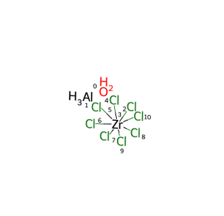 O.[AlH3].[Cl][Zr]([Cl])([Cl])([Cl])([Cl])([Cl])([Cl])[Cl]